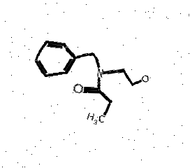 CCC(=O)N(CC[O])Cc1ccccc1